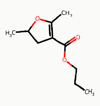 CCCOC(=O)C1=C(C)OC(C)C1